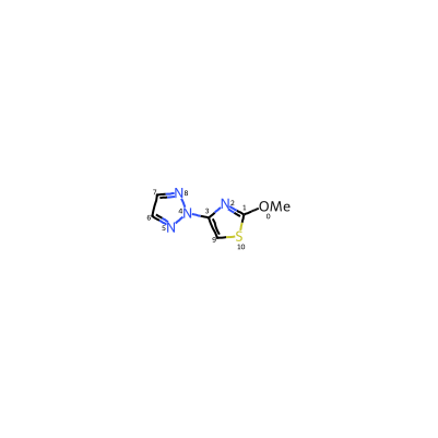 COc1nc(-n2nccn2)cs1